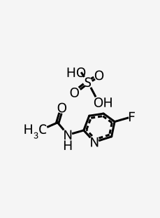 CC(=O)Nc1ccc(F)cn1.O=S(=O)(O)O